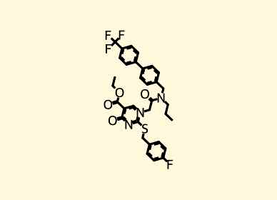 CCCN(Cc1ccc(-c2ccc(C(F)(F)F)cc2)cc1)C(=O)Cn1cc(C(=O)OCC)c(=O)nc1SCc1ccc(F)cc1